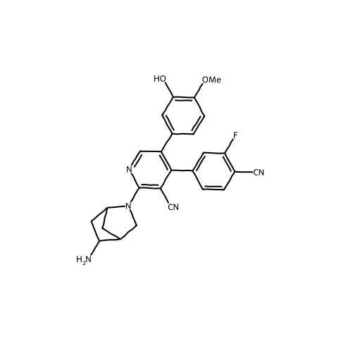 COc1ccc(-c2cnc(N3CC4CC3CC4N)c(C#N)c2-c2ccc(C#N)c(F)c2)cc1O